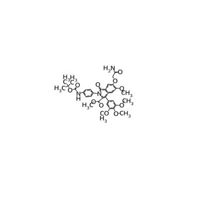 COC(=O)c1c(-c2cc(OC)c(OC)c(OC)c2)c2cc(OC)c(OCC(N)=O)cc2c(=O)n1-c1ccc(NC(=O)OC(C)(C)C)cc1